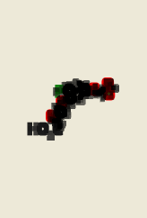 Cc1cc(OC[C@@H](C)CS(C)(=O)=O)cc(C)c1-c1ccc(F)c2c1CC[C@H]2Oc1ccc2c(c1)OC[C@H]2CC(=O)O